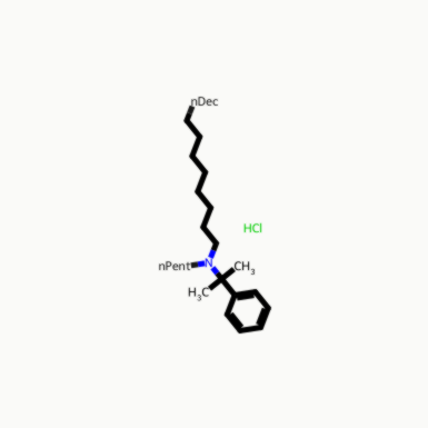 CCCCCCCCCCCCCCCCCCN(CCCCC)C(C)(C)c1ccccc1.Cl